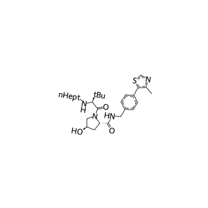 CCCCCCCN[C@H](C(=O)N1C[C@H](O)C[C@H]1C(=O)NCc1ccc(-c2scnc2C)cc1)C(C)(C)C